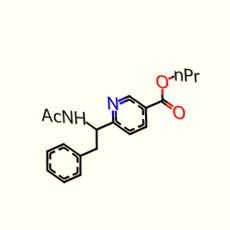 CCCOC(=O)c1ccc(C(Cc2ccccc2)NC(C)=O)nc1